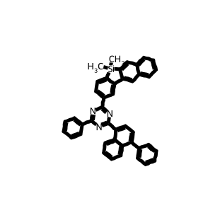 C[Si]1(C)c2ccc(-c3nc(-c4ccccc4)nc(-c4ccc(-c5ccccc5)c5ccccc45)n3)cc2-c2cc3ccccc3cc21